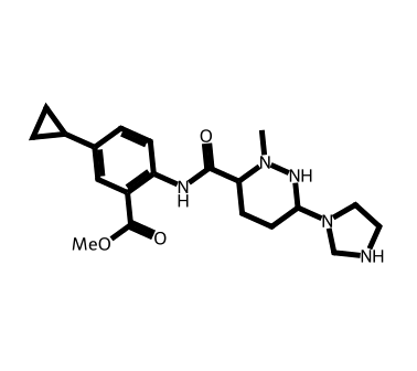 COC(=O)c1cc(C2CC2)ccc1NC(=O)C1CCC(N2CCNC2)NN1C